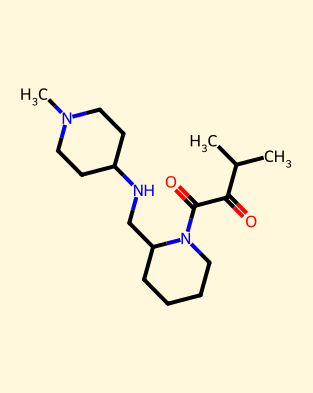 CC(C)C(=O)C(=O)N1CCCCC1CNC1CCN(C)CC1